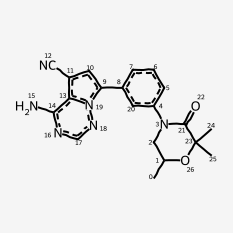 CC1CN(c2cccc(-c3cc(C#N)c4c(N)ncnn34)c2)C(=O)C(C)(C)O1